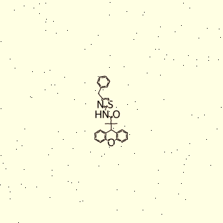 CC(C)(C(=O)Nc1nc(Cc2ccccc2)cs1)C1c2ccccc2Oc2ccccc21